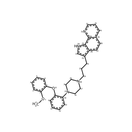 COc1ccccc1Oc1ccccc1N1CCN(CCCc2c[nH]c3c2ccc2cccnc23)CC1